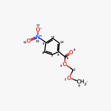 [CH2]OCOC(=O)c1ccc([N+](=O)[O-])cc1